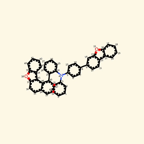 c1ccc(N(c2ccc(-c3ccc4c(c3)oc3ccccc34)cc2)c2ccccc2-c2cccc3ccc4oc5ccccc5c4c23)cc1